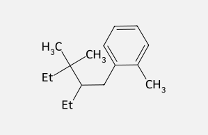 CCC(Cc1ccccc1C)C(C)(C)CC